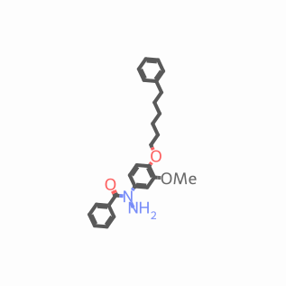 COc1cc(N(N)C(=O)c2ccccc2)ccc1OCCCCCCc1ccccc1